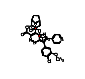 CCOC(=O)N1C2CCC1CC(c1c(C(=O)O)nnc3c(-c4ccc(Cl)c(OC)c4)c(-c4ccncc4)nn13)C2